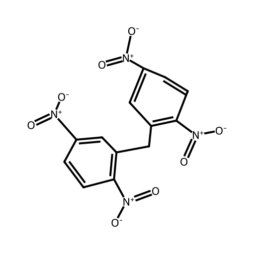 O=[N+]([O-])c1ccc([N+](=O)[O-])c(Cc2cc([N+](=O)[O-])ccc2[N+](=O)[O-])c1